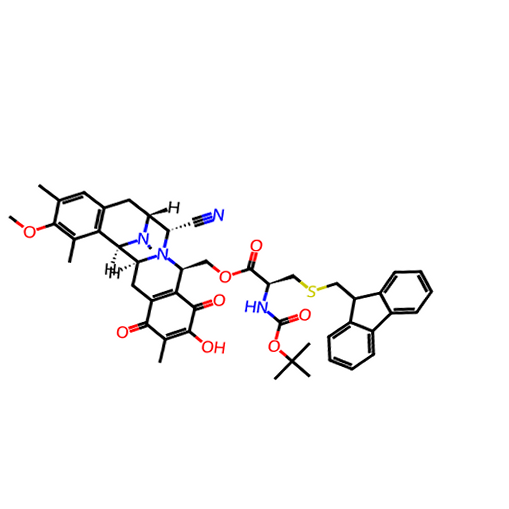 COc1c(C)cc2c(c1C)[C@@H]1[C@@H]3CC4=C(C(=O)C(O)=C(C)C4=O)[C@H](COC(=O)[C@@H](CSCC4c5ccccc5-c5ccccc54)NC(=O)OC(C)(C)C)N3[C@@H](C#N)[C@@H](C2)N1C